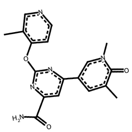 Cc1cnccc1Oc1nc(C(N)=O)cc(-c2cc(C)c(=O)n(C)c2)n1